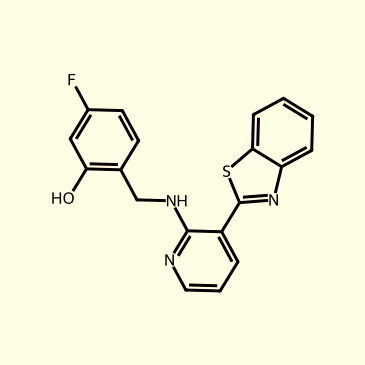 Oc1cc(F)ccc1CNc1ncccc1-c1nc2ccccc2s1